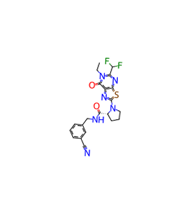 CCn1c(C(F)F)nc2sc(N3CCC[C@@H]3C(=O)NCc3cccc(C#N)c3)nc2c1=O